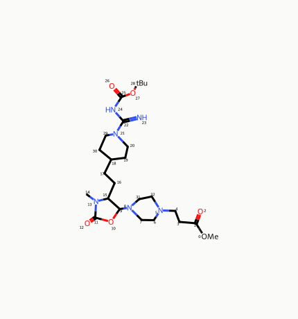 COC(=O)CCN1CCN(C2OC(=O)N(C)C2CCC2CCN(C(=N)NC(=O)OC(C)(C)C)CC2)CC1